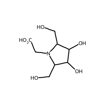 O=C(O)CN1C(CO)C(O)C(O)C1CO